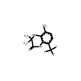 Cc1ccc(C(F)(F)F)c2c1NC(C)(C)C(=S)N2